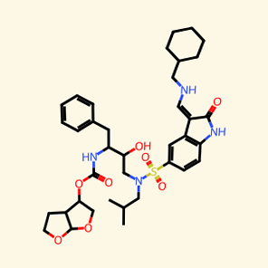 CC(C)CN(CC(O)C(Cc1ccccc1)NC(=O)OC1COC2OCCC12)S(=O)(=O)c1ccc2c(c1)C(=CNCC1CCCCC1)C(=O)N2